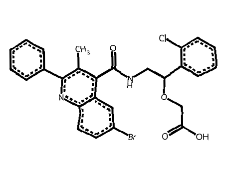 Cc1c(-c2ccccc2)nc2ccc(Br)cc2c1C(=O)NCC(OCC(=O)O)c1ccccc1Cl